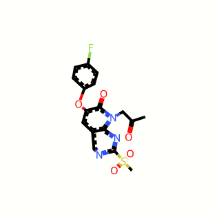 CC(=O)Cn1c(=O)c(Oc2ccc(F)cc2)cc2cnc(S(C)(=O)=O)nc21